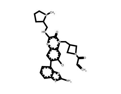 C=CC(=O)N1CC(Cn2c(=O)c(NCC3CCCN3C)nc3cc(-c4cccc5sc(N)nc45)c(Cl)cc32)C1